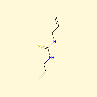 C=CC[N]C(=S)NCC=C